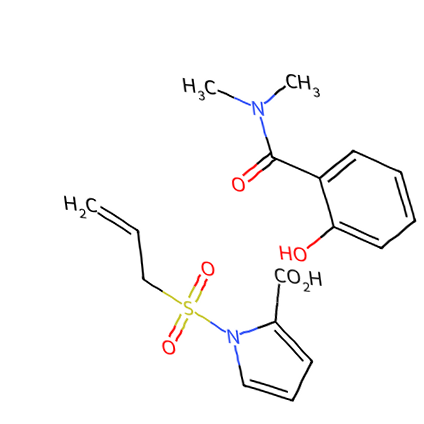 C=CCS(=O)(=O)n1cccc1C(=O)O.CN(C)C(=O)c1ccccc1O